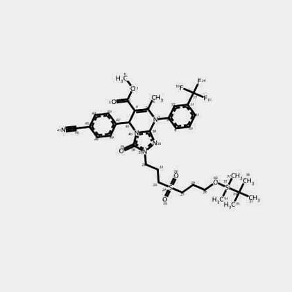 COC(=O)C1=C(C)N(c2cccc(C(F)(F)F)c2)c2nn(CCCS(=O)(=O)CCCO[Si](C)(C)C(C)(C)C)c(=O)n2C1c1ccc(C#N)cc1